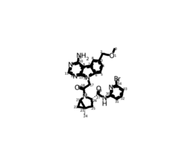 COCc1ccc2c(c1)c1c(N)ncnc1n2CC(=O)N1C2C[C@]2(C)C[C@H]1C(=O)Nc1cccc(Br)n1